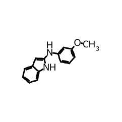 COc1cccc(Nc2cc3ccccc3[nH]2)c1